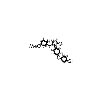 COc1cccc(CC2NCC(=O)N2c2ccc(Oc3ccc(Cl)cc3)cc2)c1